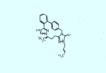 C=CCCc1nn(C/C=C/C)c(=O)n1Cc1ccc(-c2ccccc2-c2nnn[nH]2)cc1